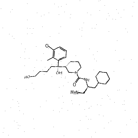 CNC[C@H](CC1CCCCC1)NC(=O)N1CCC[C@@H]([C@@](O)(CCCCO)c2cccc(Cl)c2C)C1